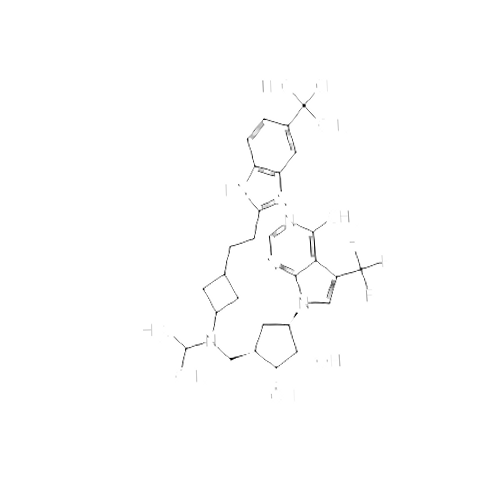 Cc1ncnc2c1c(C(F)(F)F)cn2[C@@H]1C[C@H](CN(C(C)C)C2CC(CCc3nc4cc(C(C)(C)C)ccc4[nH]3)C2)[C@@H](O)[C@H]1O